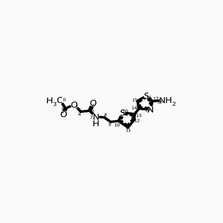 CC(=O)OCC(=O)NCCc1ccc(-c2csc(N)n2)s1